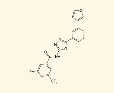 O=C(Nc1nnc(-c2cccc(-c3ccoc3)c2)o1)c1cc(F)cc(C(F)(F)F)c1